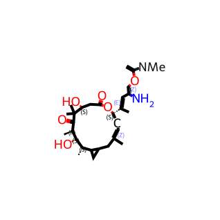 C=C(NC)O/C=C(N)/C=C(\C)[C@@H]1C/C=C(/C)CC2CC2[C@H](C)[C@H](O)[C@@H](C)C(=O)C(C)(C)[C@@H](O)CC(=O)O1